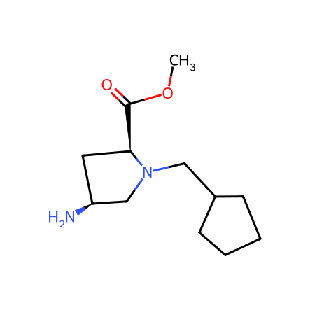 COC(=O)[C@@H]1C[C@H](N)CN1CC1CCCC1